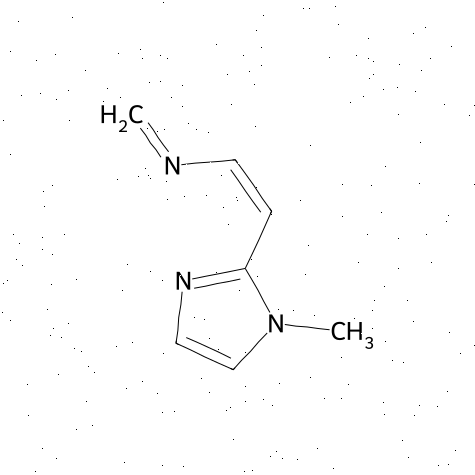 C=N/C=C\c1nccn1C